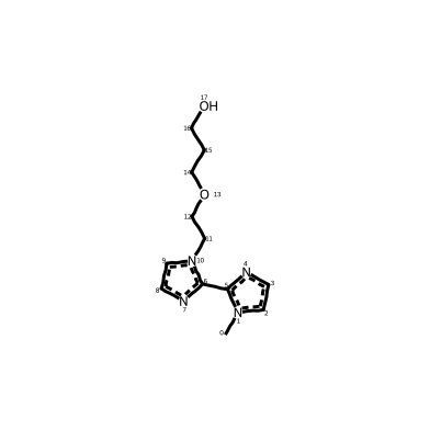 Cn1ccnc1-c1nccn1CCOCCCO